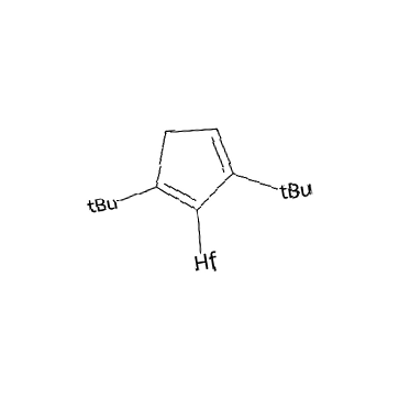 CC(C)(C)C1=CCC(C(C)(C)C)=[C]1[Hf]